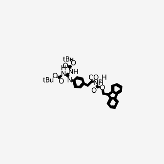 CC(C)(C)OC(=O)NC(=Nc1ccc(C[C@H](NC(=O)OCC2c3ccccc3-c3ccccc32)C(=O)O)cc1)NC(=O)OC(C)(C)C